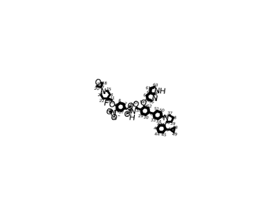 O=C(NS(=O)(=O)c1ccc(OCC2(F)CCN(C3COC3)CC2)c([N+](=O)[O-])c1)c1ccc(-c2ccc(N3CCC[C@@H]3c3ccccc3C3CC3)cc2)cc1Oc1cnc2[nH]ccc2c1